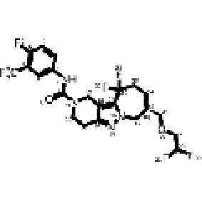 O=C(Nc1ccc(F)c(C(F)(F)F)c1)N1CCc2nn3c(c2C1)C(F)(F)CC[C@@H](COCC(F)F)C3